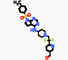 Cc1ccc(S(=O)(=O)n2ccc3c(NC4CCN(CC(F)(F)c5ccc(C=O)cn5)CC4)ncnc32)cc1